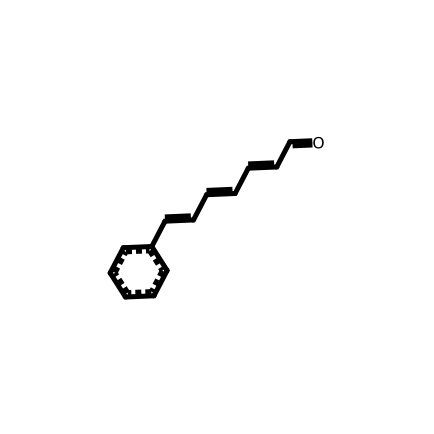 O=C/C=C/C=C/C=C/c1ccccc1